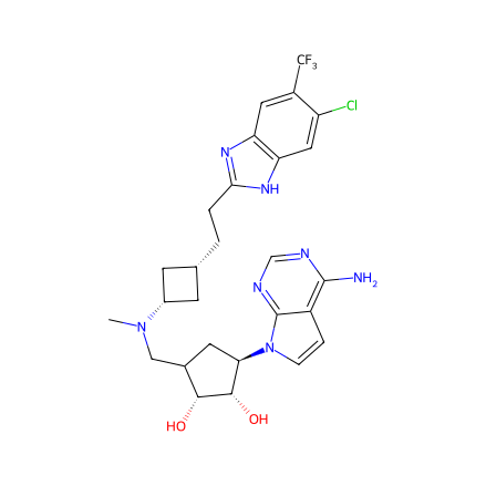 CN(CC1C[C@@H](n2ccc3c(N)ncnc32)[C@H](O)[C@@H]1O)[C@H]1C[C@@H](CCc2nc3cc(C(F)(F)F)c(Cl)cc3[nH]2)C1